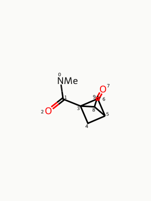 CNC(=O)C12CC(C1=O)C2C